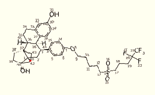 C[C@]12C[C@H](c3ccc(OCCCCCS(=O)(=O)CCCC(F)(F)C(F)(F)F)cc3)[C@@H]3c4ccc(O)cc4CC[C@H]3[C@]13CC[C@]2(O)CC3